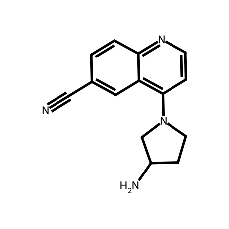 N#Cc1ccc2nccc(N3CCC(N)C3)c2c1